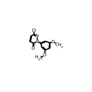 COc1cc(OC)cc(-n2nc(Cl)ccc2=O)c1